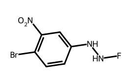 O=[N+]([O-])c1cc(NNF)ccc1Br